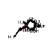 CCCCCCCCOc1ccc(-c2ccc(C(=O)N[C@H]3CC(NCCN)CNC(=O)[C@@H]4C[C@@H](C)CN4C(=O)C(CO)NC(=O)C([C@H](O)Cc4ccc(O)cc4)NC(=O)C4C[C@@H](O)CN4C(=O)[C@H]([C@@H](C)O)NC3=O)cc2)cc1